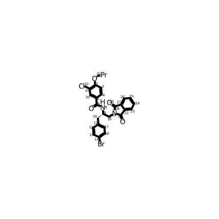 CC(C)Oc1ccc(C(=O)N[C@@H](Cc2ccc(Br)cc2)CN2C(=O)c3ccccc3C2=O)cc1Cl